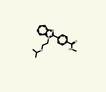 CNC(=O)c1ccc(-c2nc3ccccc3n2CCOC(C)C)cc1